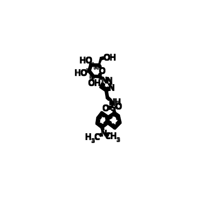 CN(C)c1cccc2c(S(=O)(=O)NCc3cn(C4O[C@H](CO)[C@@H](O)[C@H](O)[C@H]4O)nn3)cccc12